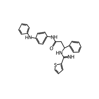 N=C(NC(CC(=O)Nc1ccc(Nc2ccccc2)cc1)c1ccccc1)c1cccs1